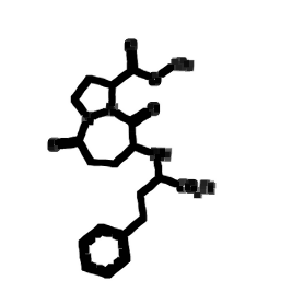 CCOC(=O)C(CCc1ccccc1)NC1CCC(=O)N2CCC(C(=O)OC(C)(C)C)N2C1=O